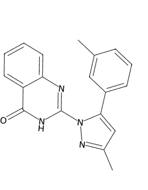 Cc1cccc(-c2cc(C)nn2-c2nc3ccccc3c(=O)[nH]2)c1